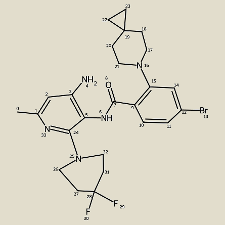 Cc1cc(N)c(NC(=O)c2ccc(Br)cc2N2CCC3(CC2)CC3)c(N2CCC(F)(F)CC2)n1